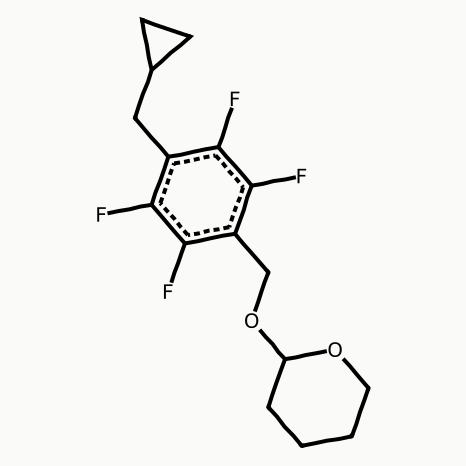 Fc1c(F)c(CC2CC2)c(F)c(F)c1COC1CCCCO1